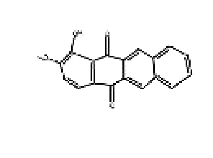 O=C1c2cc3ccccc3cc2C(=O)c2c1ccc(O)c2O